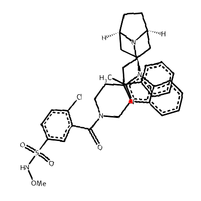 CONS(=O)(=O)c1ccc(Cl)c(C(=O)N2CCC(CCN3[C@@H]4CC[C@H]3C[C@@H](n3c(C)nc5ccccc53)C4)(c3ccccc3)CC2)c1